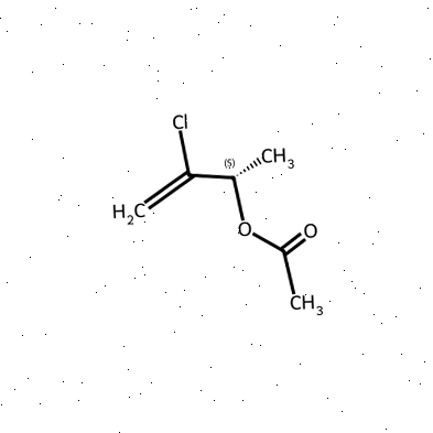 C=C(Cl)[C@H](C)OC(C)=O